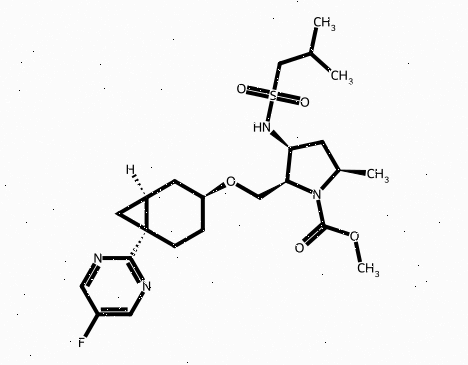 COC(=O)N1[C@H](C)C[C@H](NS(=O)(=O)CC(C)C)[C@@H]1CO[C@H]1CC[C@@]2(c3ncc(F)cn3)C[C@H]2C1